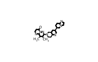 Cc1c(N2CCc3ncc(-c4ccc5nccn5c4)cc3C2)nn2c(=O)ccnc2c1C